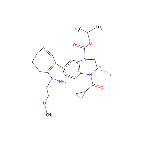 COCCN(N)C1=C(c2ccc3c(c2)N(C(=O)OC(C)C)C[C@H](C)N3C(=O)C2CC2)C=CCCC1